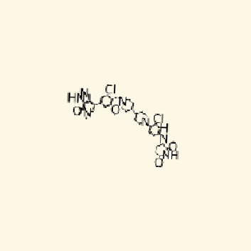 COc1cc(-c2cn(C)c(=O)c3[nH]ncc23)cc(Cl)c1CN1CCC(C2CCN(c3ccc(NC4CCC(=O)NC4=O)cc3Cl)CC2)CC1